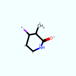 CC1C(=O)NCCC1I